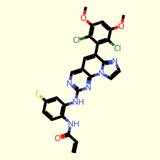 C=CC(=O)Nc1ccc(F)cc1Nc1ncc2cc(-c3c(Cl)c(OC)cc(OC)c3Cl)c3nccn3c2n1